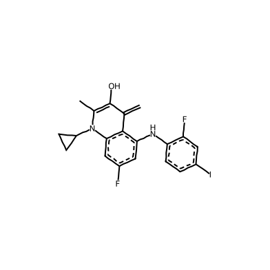 C=C1C(O)=C(C)N(C2CC2)c2cc(F)cc(Nc3ccc(I)cc3F)c21